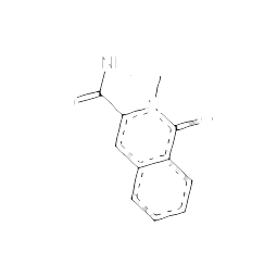 Cn1c(C(N)=O)cc2ccc[c]c2c1=O